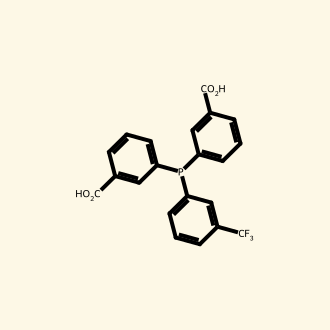 O=C(O)c1cccc(P(c2cccc(C(=O)O)c2)c2cccc(C(F)(F)F)c2)c1